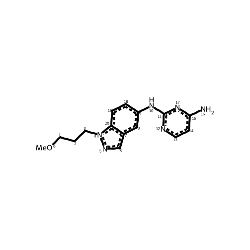 COCCCn1ncc2cc(Nc3nccc(N)n3)ccc21